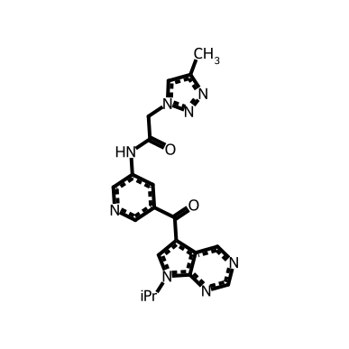 Cc1cn(CC(=O)Nc2cncc(C(=O)c3cn(C(C)C)c4ncncc34)c2)nn1